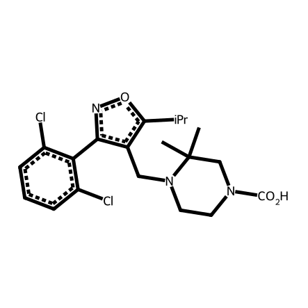 CC(C)c1onc(-c2c(Cl)cccc2Cl)c1CN1CCN(C(=O)O)CC1(C)C